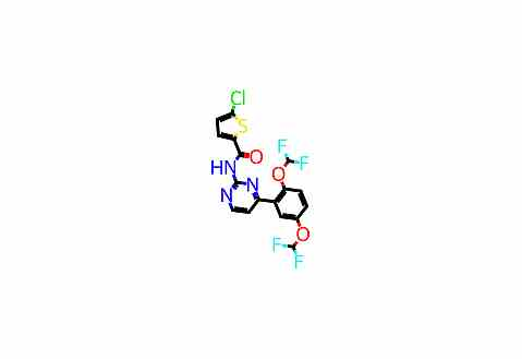 O=C(Nc1nccc(-c2cc(OC(F)F)ccc2OC(F)F)n1)c1ccc(Cl)s1